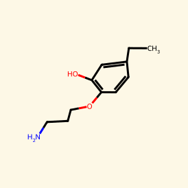 CCc1ccc(OCCCN)c(O)c1